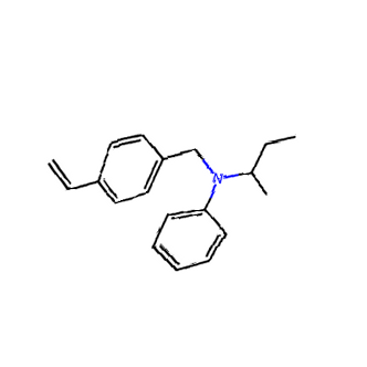 C=Cc1ccc(CN(c2ccccc2)C(C)CC)cc1